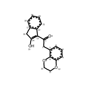 O=C(Cc1cccc2c1OCCO2)C1=C(O)Cc2ccccc21